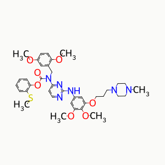 COc1ccc(OC)c(CN(C(=O)Oc2ccccc2SC)c2ccnc(Nc3cc(OC)c(OC)c(OCCCN4CCN(C)CC4)c3)n2)c1